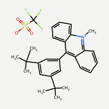 C[n+]1c2ccccc2c(-c2cc(C(C)(C)C)cc(C(C)(C)C)c2)c2ccccc21.O=S(=O)([O-])C(F)(F)F